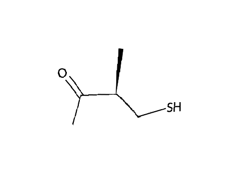 CC(=O)[C@@H](C)CS